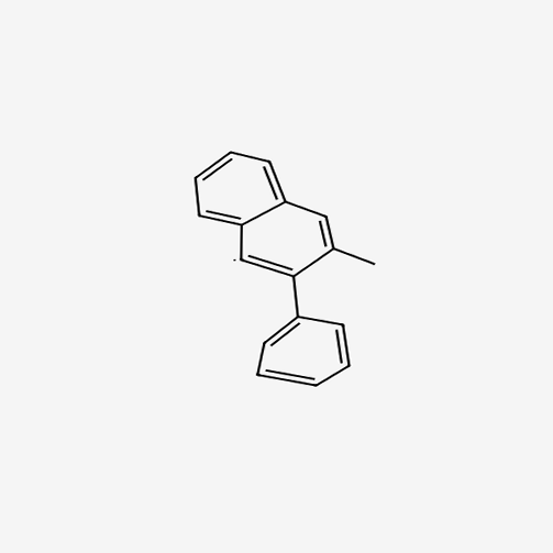 Cc1cc2ccccc2[c]c1-c1ccccc1